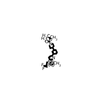 CN1c2nc(-c3cccc(C4CCN(C(=O)OC(C)(C)C)CC4)c3)ccc2N(CC2CC2(F)F)S1(=O)=O